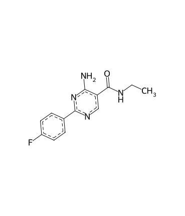 CCNC(=O)c1cnc(-c2ccc(F)cc2)nc1N